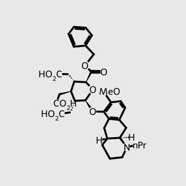 CCCN1CCC[C@@H]2Cc3c(ccc(OC)c3O[C@@H]3O[C@H](C(=O)OCc4ccccc4)[C@@H](CC(=O)O)[C@H](CC(=O)O)[C@H]3CC(=O)O)C[C@H]21